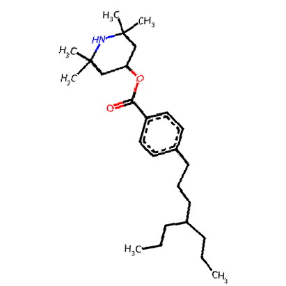 CCCC(CCC)CCCc1ccc(C(=O)OC2CC(C)(C)NC(C)(C)C2)cc1